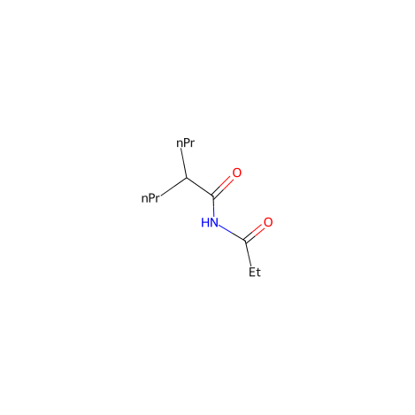 CCCC(CCC)C(=O)NC(=O)CC